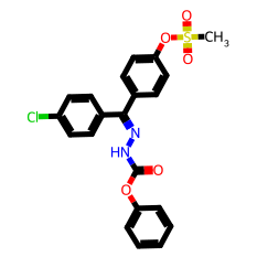 CS(=O)(=O)Oc1ccc(C(=NNC(=O)Oc2ccccc2)c2ccc(Cl)cc2)cc1